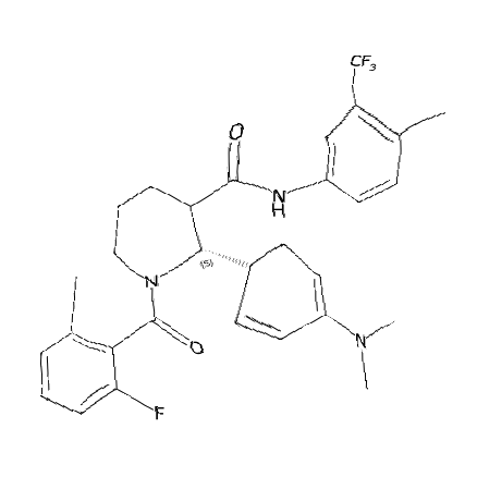 Cc1ccc(NC(=O)C2CCCN(C(=O)c3c(C)cccc3F)[C@H]2C2C=CC(N(C)C)=CC2)cc1C(F)(F)F